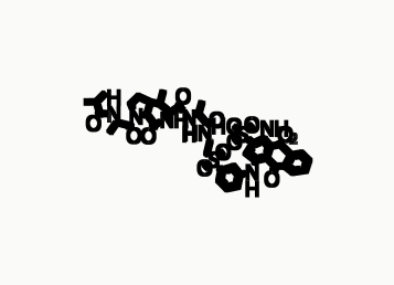 CC(C)C(=O)NC(C)C(=O)N1CCC2C(C)C(C(=O)NC(C)C(=O)NCCS(=O)(=O)c3cccc(Nc4cc(S(=O)(=O)O)c(N)c5c4C(=O)c4ccccc4C5=O)c3)NC(=O)C21